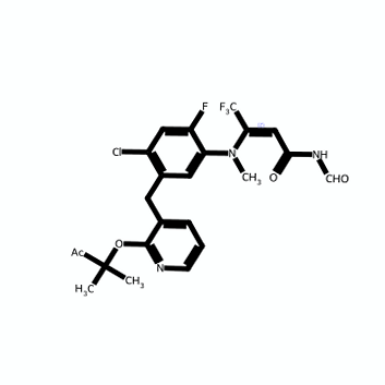 CC(=O)C(C)(C)Oc1ncccc1Cc1cc(N(C)/C(=C\C(=O)NC=O)C(F)(F)F)c(F)cc1Cl